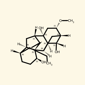 CCN1C[C@@H]2CC[C@H](O)[C@]34C1[C@H](C[C@H]23)[C@@]1(O)C[C@H](OC)[C@H]2C[C@@H]4[C@@H]1[C@H]2O